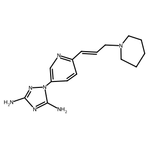 Nc1nc(N)n(-c2ccc(/C=C/CN3CCCCC3)nc2)n1